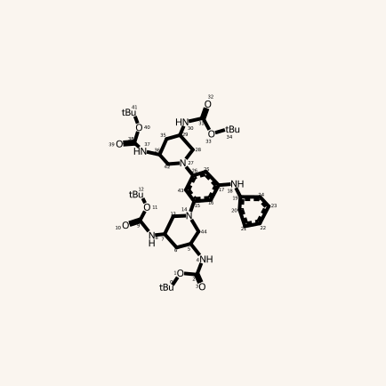 CC(C)(C)OC(=O)NC1CC(NC(=O)OC(C)(C)C)CN(c2cc(Nc3ccccc3)cc(N3CC(NC(=O)OC(C)(C)C)CC(NC(=O)OC(C)(C)C)C3)c2)C1